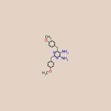 COc1ccc(Cc2nc(N)c(N)c(Cc3ccc(OC)cc3)n2)cc1